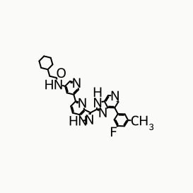 Cc1cc(F)cc(-c2cncc3[nH]c(-c4n[nH]c5ccc(-c6cncc(NC(=O)CC7CCCCC7)c6)nc45)nc23)c1